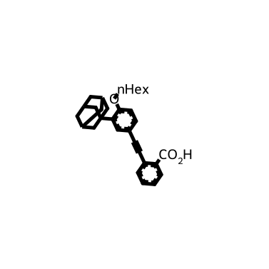 CCCCCCOc1ccc(C#Cc2ccccc2C(=O)O)cc1C12CC3CC(CC(C3)C1)C2